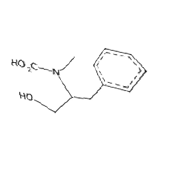 CN(C(=O)O)C(CO)Cc1ccccc1